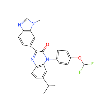 CC(C)c1ccc2nc(-c3ccc4ncn(C)c4c3)c(=O)n(-c3ccc(OC(F)F)cc3)c2c1